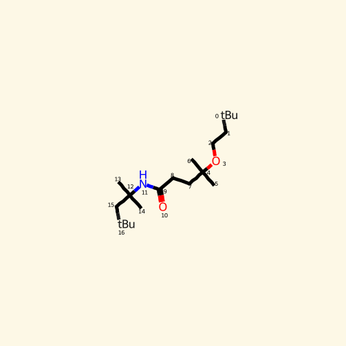 CC(C)(C)CCOC(C)(C)CCC(=O)NC(C)(C)CC(C)(C)C